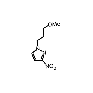 COCCCn1ccc([N+](=O)[O-])n1